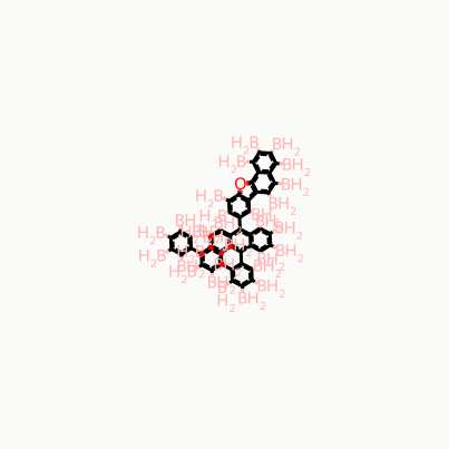 Bc1c(B)c(B)c(-c2c(B)c(B)c(-c3c(B)c(B)c(B)c(B)c3-c3c4c(B)c(B)c(B)c(B)c4c(-c4c(B)c(B)c5oc6c7c(B)c(B)c(B)c(B)c7c(B)c(B)c6c5c4B)c4c(B)c(B)c(B)c(B)c34)c(B)c2B)c(B)c1B